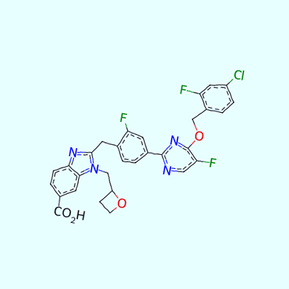 O=C(O)c1ccc2nc(Cc3ccc(-c4ncc(F)c(OCc5ccc(Cl)cc5F)n4)cc3F)n(CC3CCO3)c2c1